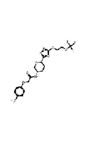 Cc1ccc(OCC(=O)N[C@H]2CC[C@H](c3nnc(OCCOC(F)(F)F)o3)OC2)cc1